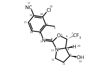 Cc1c(/N=C2\O[C@H](C(F)(F)F)[C@@H]3[C@@H](O)CCN23)ccc(C#N)c1Cl